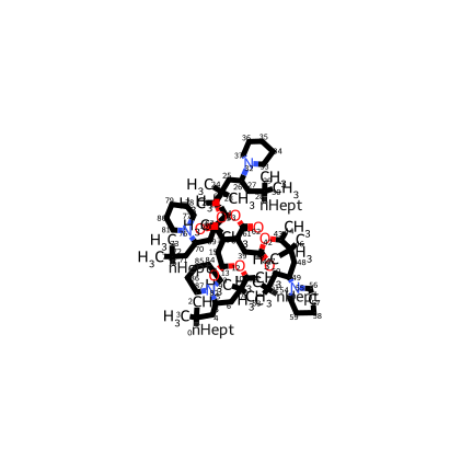 CCCCCCCC(C)(C)CC(CC(C)(C)C(C)OC(=O)CC(C(=O)OC(C)C(C)(C)CC(CC(C)(C)CCCCCCC)N1CCCCC1)C(CC(=O)OC(C)C(C)(C)CC(CC(C)(C)CCCCCCC)N1CCCCC1)C(=O)OC(C)C(C)(C)CC(CC(C)(C)CCCCCCC)N1CCCCC1)N1CCCCC1